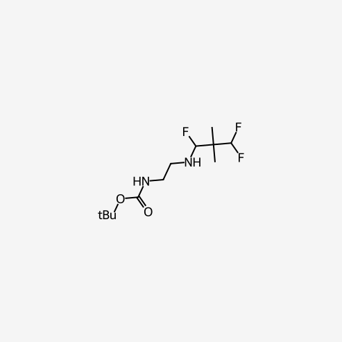 CC(C)(C)OC(=O)NCCNC(F)C(C)(C)C(F)F